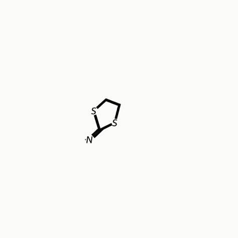 [N]=C1SCCS1